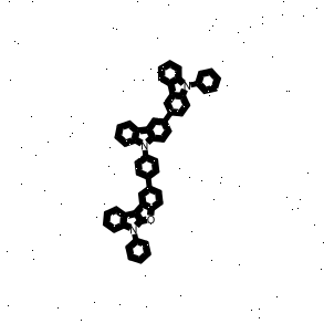 c1ccc(-n2c3ccccc3c3cc(-c4ccc5c(c4)c4ccccc4n5-c4ccc(-c5ccc6oc7c(c6c5)c5ccccc5n7-c5ccccc5)cc4)ccc32)cc1